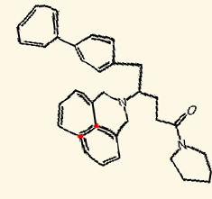 O=C(CCC(Cc1ccc(-c2ccccc2)cc1)N(Cc1ccccc1)Cc1ccccc1)N1CCCC1